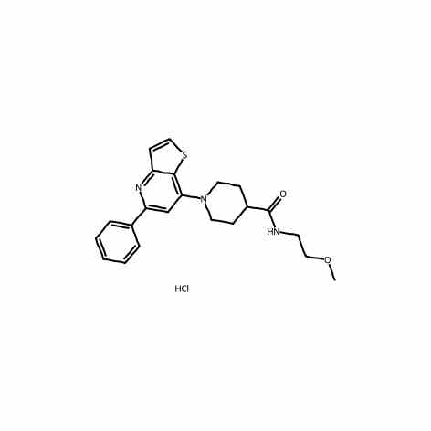 COCCNC(=O)C1CCN(c2cc(-c3ccccc3)nc3ccsc23)CC1.Cl